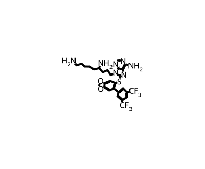 NCCCCCC(N)CCCn1c(Sc2cc3c(cc2-c2cc(C(F)(F)F)cc(C(F)(F)F)c2)OCO3)nc2c(N)ncnc21